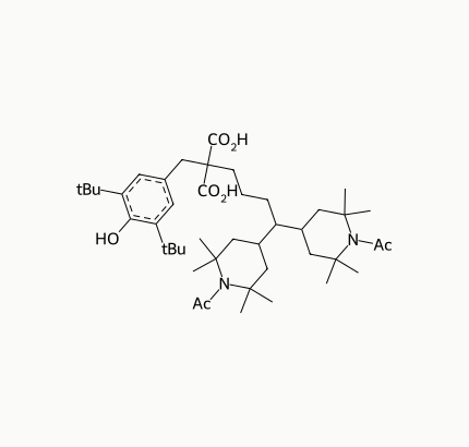 CC(=O)N1C(C)(C)CC(C(CCCC(Cc2cc(C(C)(C)C)c(O)c(C(C)(C)C)c2)(C(=O)O)C(=O)O)C2CC(C)(C)N(C(C)=O)C(C)(C)C2)CC1(C)C